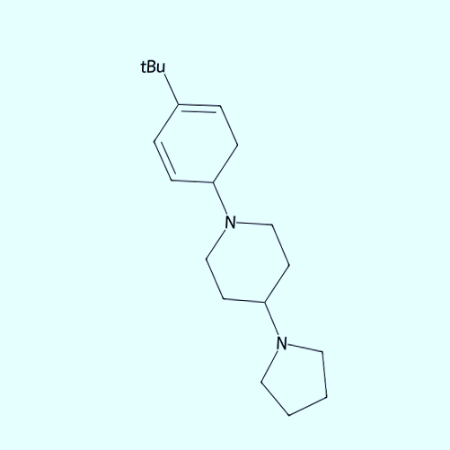 CC(C)(C)C1=CCC(N2CCC(N3CCCC3)CC2)C=C1